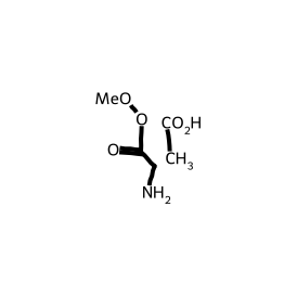 CC(=O)O.COOC(=O)CN